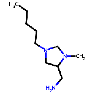 CCCCCN1CC(CN)N(C)C1